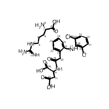 N=C(N)NCCC[C@H](N)C(=O)O.O=C(O)CC(NC(=O)Cc1ccccc1Nc1c(Cl)cccc1Cl)C(=O)O